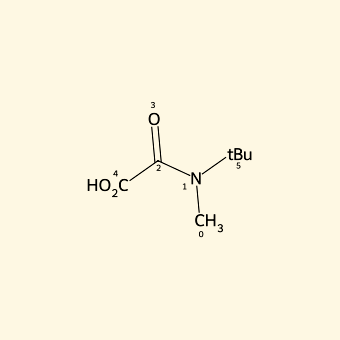 CN(C(=O)C(=O)O)C(C)(C)C